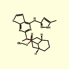 Cc1cc(Nc2nc(N(C)[C@@H]3C[C@H]4CCC[C@@H](C3)N4C(=O)OC(C)(C)C)nc3sccc23)n[nH]1